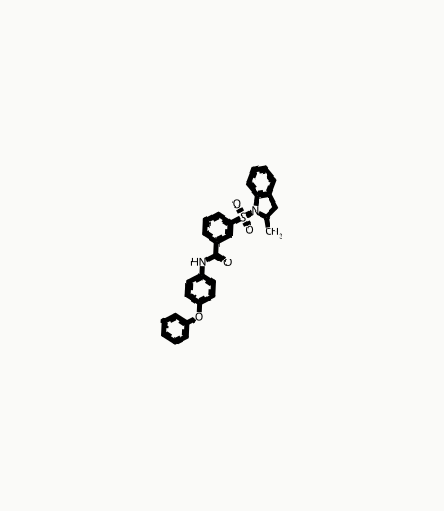 CC1Cc2ccccc2N1S(=O)(=O)c1cccc(C(=O)Nc2ccc(Oc3ccccc3)cc2)c1